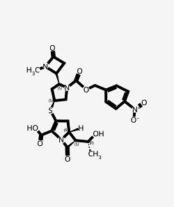 C[C@@H](O)[C@H]1C(=O)N2C(C(=O)O)=C(S[C@H]3C[C@@H](C4CC(=O)N4C)N(C(=O)OCc4ccc([N+](=O)[O-])cc4)C3)C[C@H]12